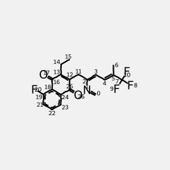 C=N/C(=C\C=C(/C)C(F)(F)F)CC1=C(CC)C(=O)c2c(F)cccc2C1=O